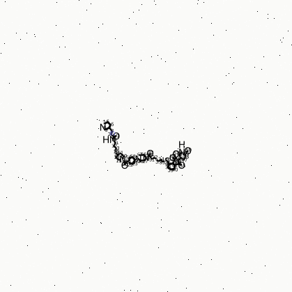 O=C(/C=C/c1cccnc1)NCCCCC1CCN(C(=O)c2ccc(N3CCN(C(=O)CCCCCSc4cccc5c4C(=O)N(C4CCC(=O)NC4=O)C5=O)CC3)cc2)CC1